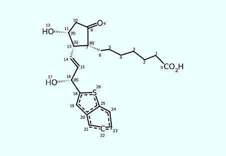 O=C(O)CCCCCC[C@H]1C(=O)C[C@@H](O)[C@H]1C=C[C@@H](O)c1cc2ccccc2s1